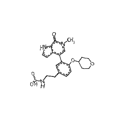 Cn1cc(-c2cc(CCN[SH](=O)=O)ccc2OC2CCOCC2)c2cc[nH]c2c1=O